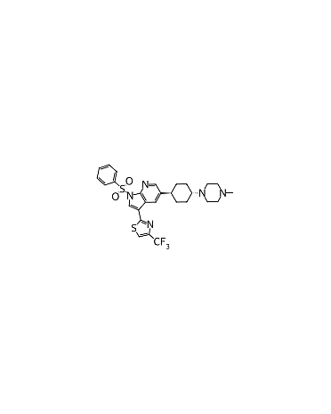 CN1CCN([C@H]2CC[C@H](c3cnc4c(c3)c(-c3nc(C(F)(F)F)cs3)cn4S(=O)(=O)c3ccccc3)CC2)CC1